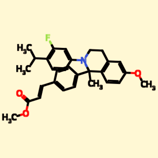 COC(=O)/C=C/c1ccc(C2(C)c3ccc(OC)cc3CCN2c2ccc(C(C)C)c(F)c2)cc1